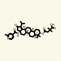 Cc1cc(C(=O)N[C@@]23CC[C@]4(C)[C@H](CC[C@@H]5[C@@]6(C)CC[C@H](OC(=O)CC(C)(C)C(=O)O)C(C)(C)[C@@H]6CC[C@]54C)C2=C(C(C)C)C(=O)C3)ccn1